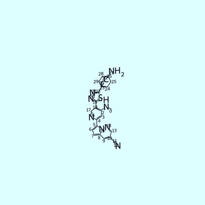 CNc1cc(-c2ccc3cc(C#N)cnn23)ncc1-c1nnc(C23CCC(N)(CC2)CC3)s1